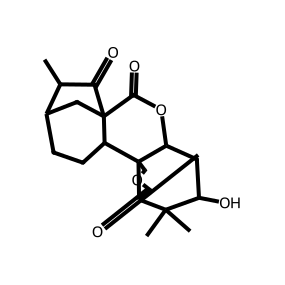 CC1C(=O)C23CC1CCC2C12COC(=O)C1C(C)(C)C(O)CC2OC3=O